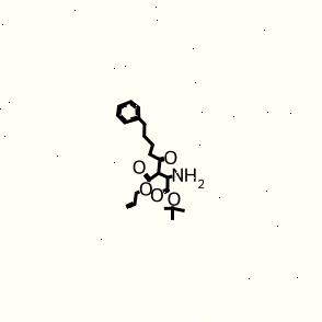 C=CCOC(=O)C(C(=O)CCCCc1ccccc1)C(N)C(=O)OC(C)(C)C